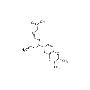 C=CC/C(=N\C=N/CC(=O)O)c1ccc(O[C@H](C)CC)c(Cl)c1